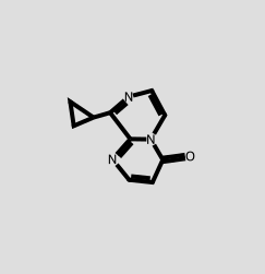 O=c1ccnc2c(C3CC3)nccn12